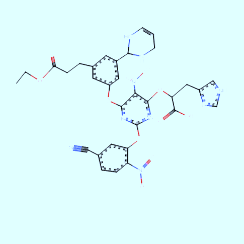 CCOC(=O)CCc1cc(Oc2nc(Oc3cc(C#N)ccc3[N+](=O)[O-])nc(OC(Cc3c[nH]cn3)C(=O)O)c2[N+](=O)[O-])cc(C2NC=CCN2)c1